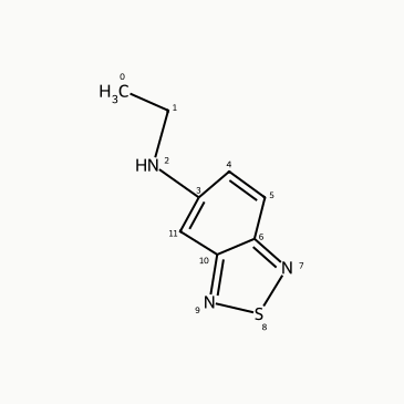 CCNc1ccc2nsnc2c1